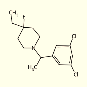 CCC1(F)CCN(C(C)c2cc(Cl)cc(Cl)c2)CC1